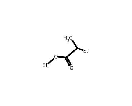 C[CH][C@H](C)C(=O)OCC